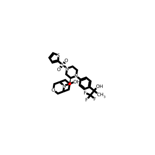 CC(O)(c1ccc(N2CCN(S(=O)(=O)c3cccs3)C[C@@H]2CN2C3COCC2CC(O)C3)cc1)C(F)(F)F